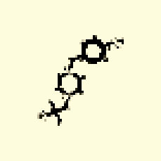 CC(C)(S)CN1CCN(Cc2ccc(O)cc2)CC1